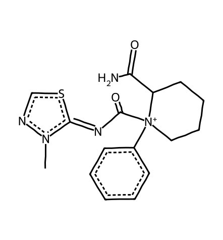 Cn1ncsc1=NC(=O)[N+]1(c2ccccc2)CCCCC1C(N)=O